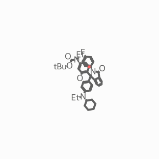 CCN(C(=O)OC(C)(C)C)c1ccc2c(c1)Oc1cc(N(CC)C3CCCCC3)ccc1C21c2ccccc2C(=O)N1c1ccc(F)cc1